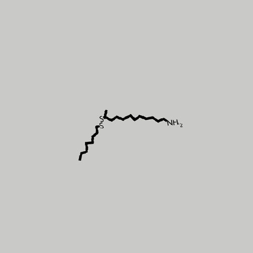 CCCCCCCCSSC(C)CCCCCCCCCCN